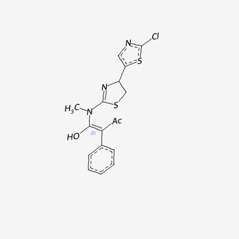 CC(=O)/C(=C(/O)N(C)C1=NC(c2cnc(Cl)s2)CS1)c1ccccc1